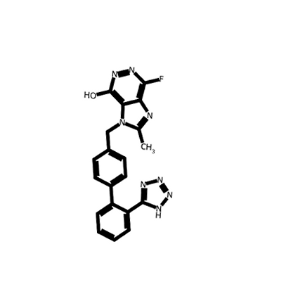 Cc1nc2c(F)nnc(O)c2n1Cc1ccc(-c2ccccc2-c2nnn[nH]2)cc1